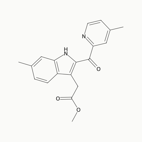 COC(=O)Cc1c(C(=O)c2cc(C)ccn2)[nH]c2cc(C)ccc12